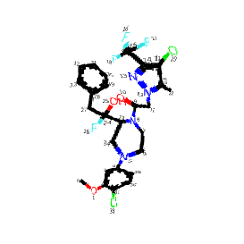 COc1cc(N2CCN(C(=O)Cn3nc(C(F)(F)F)c(Cl)c3C)C(C(O)(F)Cc3ccccc3)C2)ccc1Cl